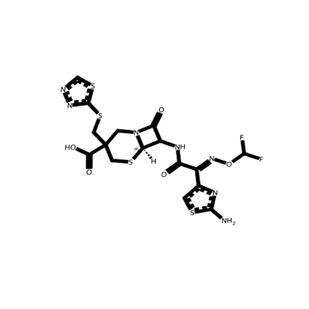 Nc1nc(C(=NOC(F)F)C(=O)NC2C(=O)N3CC(CSc4nncs4)(C(=O)O)CS[C@H]23)cs1